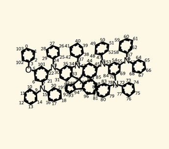 c1ccc(Oc2cc(N(c3ccccc3)c3ccccc3)cc(N(c3ccccc3)c3ccc4c(c3)N(c3ccccc3)c3cc(N(c5ccccc5)c5cc(N(c6ccccc6)c6ccccc6)cc(N(c6ccccc6)c6ccccc6)c5)ccc3C43c4ccccc4-c4ccccc43)c2)cc1